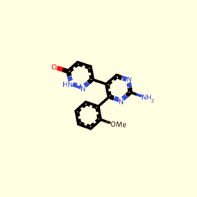 COc1ccccc1-c1nc(N)ncc1-c1ccc(=O)[nH]n1